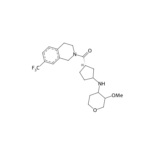 COC1COCCC1NC1CC[C@H](C(=O)N2CCc3ccc(C(F)(F)F)cc3C2)C1